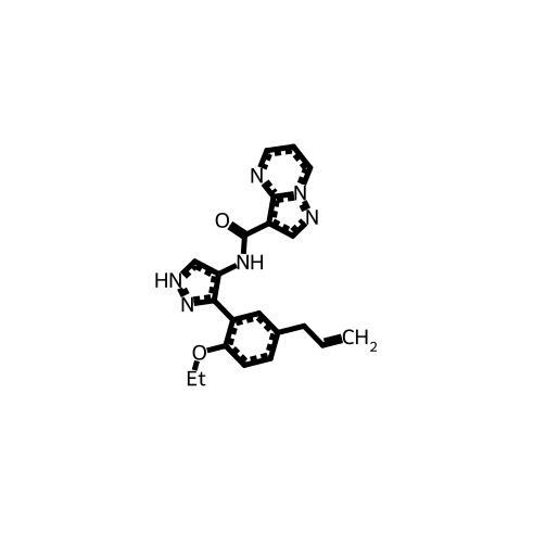 C=CCc1ccc(OCC)c(-c2n[nH]cc2NC(=O)c2cnn3cccnc23)c1